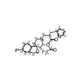 O=C(OC(=O)C(F)(F)F)C(Cc1cscn1)CN1CCC2(CC1)OCc1cc(F)ccc12